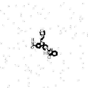 NC(=O)c1ccc2c(c1)N(CCN1CCOCC1)CC21CCN(c2nc3c(c(=O)[nH]2)CCCC3)CC1